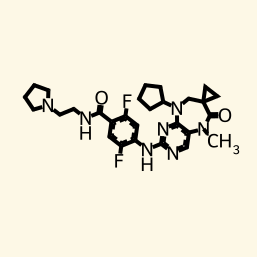 CN1C(=O)C2(CC2)CN(C2CCCC2)c2nc(Nc3cc(F)c(C(=O)NCCN4CCCC4)cc3F)ncc21